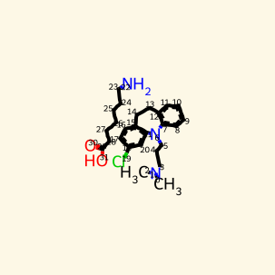 CN(C)CCCN1c2ccccc2CCc2ccc(Cl)cc21.NCCCCCCC(=O)O